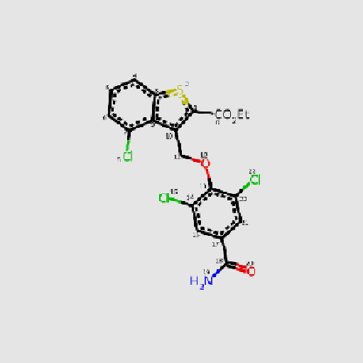 CCOC(=O)c1sc2cccc(Cl)c2c1COc1c(Cl)cc(C(N)=O)cc1Cl